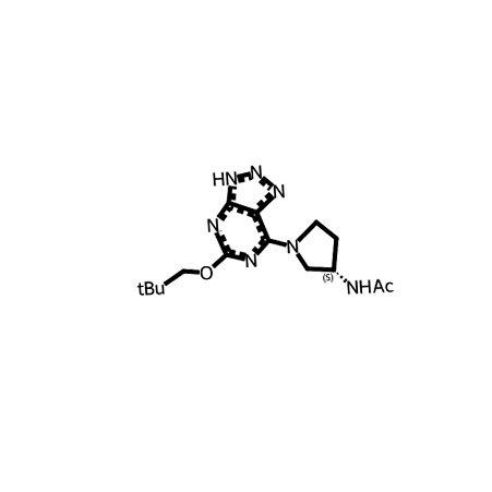 CC(=O)N[C@H]1CCN(c2nc(OCC(C)(C)C)nc3[nH]nnc23)C1